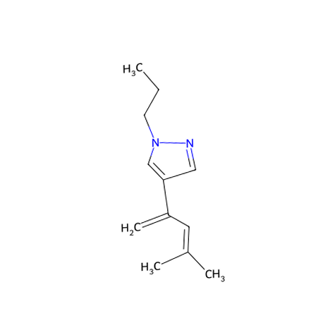 C=C(C=C(C)C)c1cnn(CCC)c1